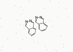 c1ccc2cnncc2c1.c1ccc2cnncc2c1